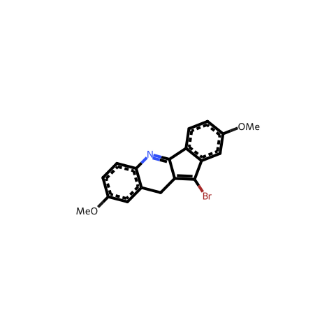 COc1ccc2c(c1)CC1=C(Br)c3cc(OC)ccc3C1=N2